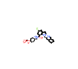 O=COC1CCC(CNC(=O)c2cc(F)cc3ccn(Cc4cc5ccccc5cn4)c23)CC1